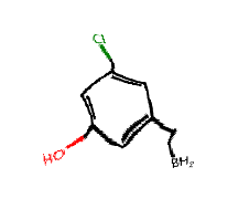 BCc1cc(O)cc(Cl)c1